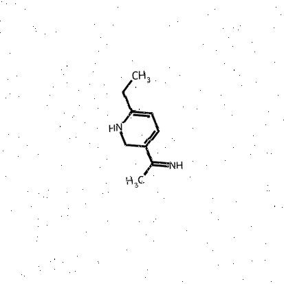 CCC1=CC=C(C(C)=N)CN1